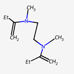 C=C(CC)N(C)CCN(C)C(=C)CC